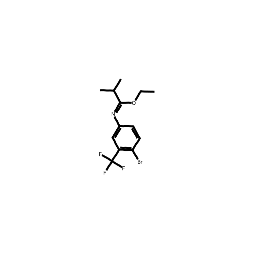 CCOC(=Nc1ccc(Br)c(C(F)(F)F)c1)C(C)C